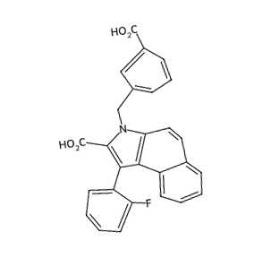 O=C(O)c1cccc(Cn2c(C(=O)O)c(-c3ccccc3F)c3c4ccccc4ccc32)c1